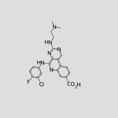 CN(C)CCNc1ncc2c(n1)c(Nc1ccc(F)c(Cl)c1)nc1cc(C(=O)O)ccc12